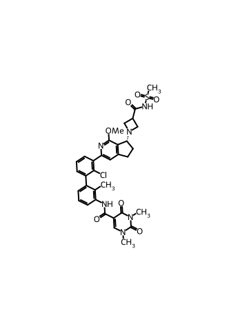 COc1nc(-c2cccc(-c3cccc(NC(=O)c4cn(C)c(=O)n(C)c4=O)c3C)c2Cl)cc2c1[C@H](N1CC(C(=O)NS(C)(=O)=O)C1)CC2